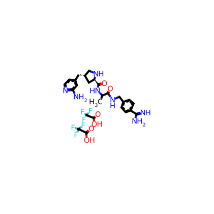 CC(NC(=O)[C@H]1C[C@H](Cc2ccnc(N)c2)CN1)C(=O)NCc1ccc(C(=N)N)cc1.O=C(O)C(F)(F)F.O=C(O)C(F)(F)F